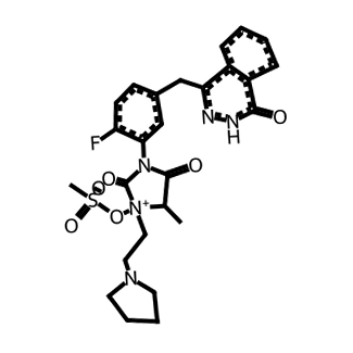 CC1C(=O)N(c2cc(Cc3n[nH]c(=O)c4ccccc34)ccc2F)C(=O)[N+]1(CCN1CCCC1)OS(C)(=O)=O